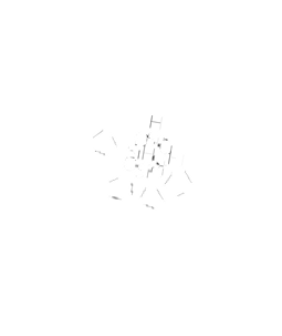 CC[Si]1(c2ccccc2)O[SiH2]O[SiH](c2ccccc2)O[Si](c2ccccc2)(c2ccccc2)O1